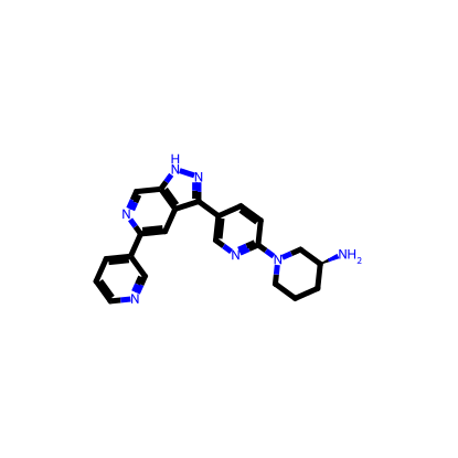 N[C@H]1CCCN(c2ccc(-c3n[nH]c4cnc(-c5cccnc5)cc34)cn2)C1